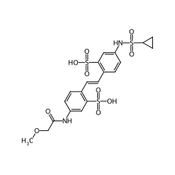 COCC(=O)Nc1ccc(C=Cc2ccc(NS(=O)(=O)C3CC3)cc2S(=O)(=O)O)c(S(=O)(=O)O)c1